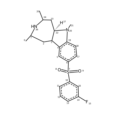 CC1CC2c3cc(S(=O)(=O)c4cccc(F)c4)ccc3N(C)[C@@H]2CC(C)N1